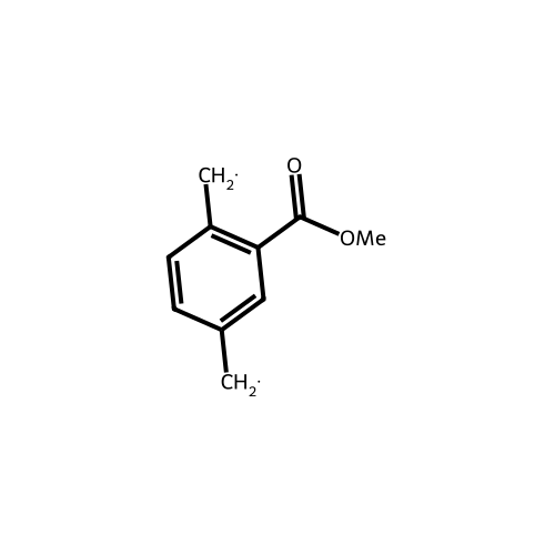 [CH2]c1ccc([CH2])c(C(=O)OC)c1